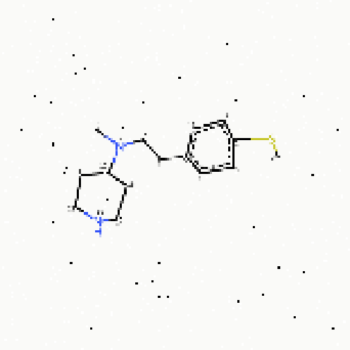 CSc1ccc(CCN(C)C2CCNCC2)cc1